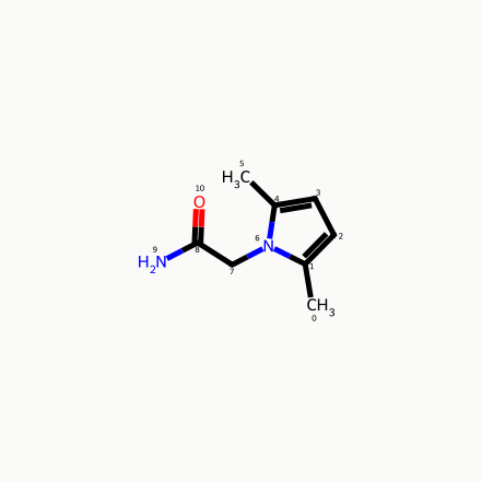 Cc1ccc(C)n1CC(N)=O